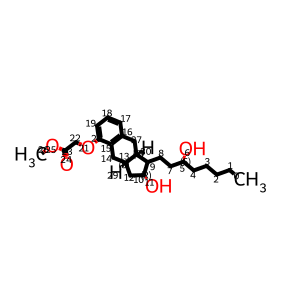 CCCCC[C@H](O)CCC1[C@H](O)C[C@@H]2Cc3c(cccc3OCC(=O)OC)C[C@H]12